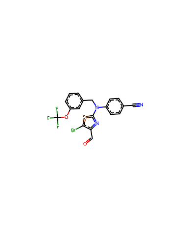 N#Cc1ccc(N(Cc2cccc(OC(F)(F)F)c2)c2nc(C=O)c(Br)s2)cc1